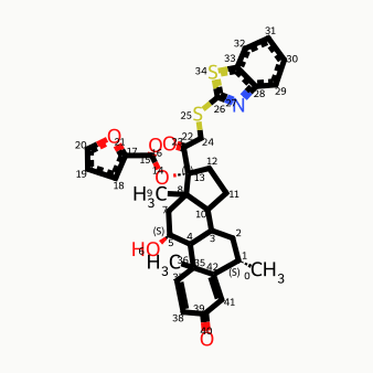 C[C@H]1CC2C([C@@H](O)CC3(C)C2CC[C@]3(OC(=O)c2ccco2)C(=O)CSc2nc3ccccc3s2)C2(C)C=CC(=O)C=C12